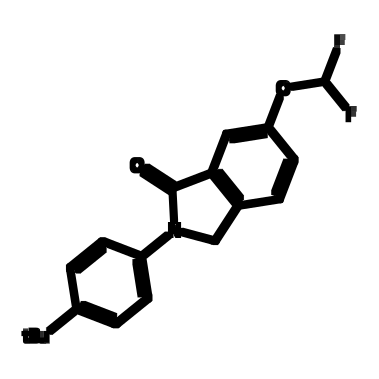 CC(C)(C)c1ccc(N2Cc3ccc(OC(F)F)cc3C2=O)cc1